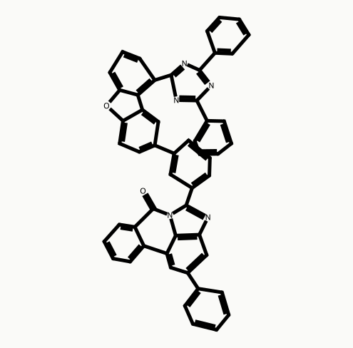 O=c1c2ccccc2c2cc(-c3ccccc3)cc3nc(-c4cccc(-c5ccc6oc7cccc(-c8nc(-c9ccccc9)nc(-c9ccccc9)n8)c7c6c5)c4)n1c32